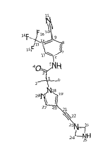 CC(C)(C(=O)Nc1ccc(C#N)c(C(F)(F)F)c1)n1cc(C#CN2CNC2)cn1